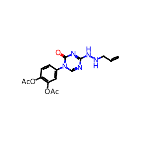 C=CCNNc1ncn(-c2ccc(OC(C)=O)c(OC(C)=O)c2)c(=O)n1